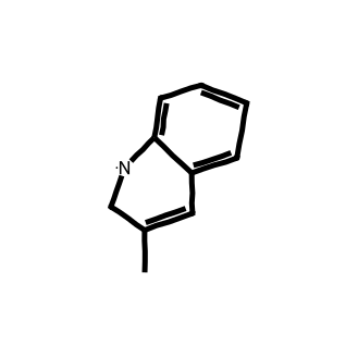 CC1=Cc2ccccc2[N]C1